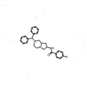 O=C(NC1CC2CN(C(c3ccccc3)c3ccccc3)CCN2C1)c1ccc(F)cc1